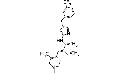 C=C/C(=C\C1=C(C)CNCC1)C(=C)Nc1cn(Cc2cccc(C(F)(F)F)c2)cn1